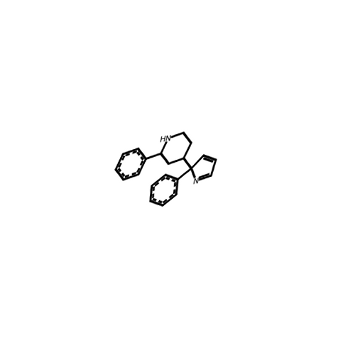 C1=CC(c2ccccc2)(C2CCNC(c3ccccc3)C2)N=C1